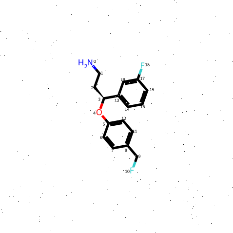 NCC[C@H](Oc1ccc(CF)cc1)c1cccc(F)c1